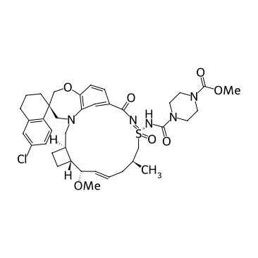 COC(=O)N1CCN(C(=O)N[S@@]2(=O)=NC(=O)c3ccc4c(c3)N(C[C@@H]3CC[C@H]3[C@@H](OC)/C=C/C[C@H](C)C2)C[C@@]2(CCCc3cc(Cl)ccc32)CO4)CC1